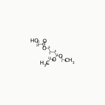 CCOC(CCCOC(=O)CO)OCC